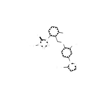 Cc1cc(-n2nccc2C)ccc1OCc1c(C)cccc1-n1nnn(C)c1=O